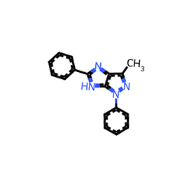 Cc1nn(-c2ccccc2)c2[nH]c(-c3ccccc3)nc12